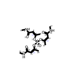 CNC(=O)/C=C(/C)OP(=O)(O/C(C)=C\C(=O)NC)O/C(C)=C\C(=O)NC